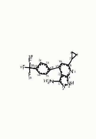 Nc1n[nH]c2nc(C3CC3)cc(-c3ccc(C(F)(F)F)cc3)c12